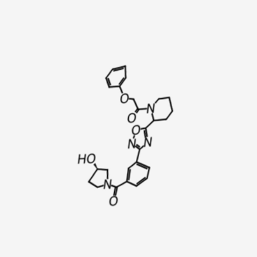 O=C(c1cccc(-c2noc(C3CCCCN3C(=O)COc3ccccc3)n2)c1)N1CC[C@@H](O)C1